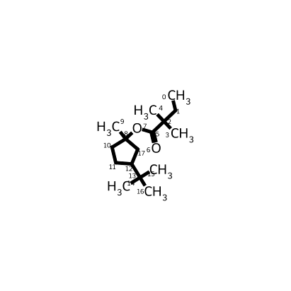 CCC(C)(C)C(=O)OC1(C)CCC(C(C)(C)C)C1